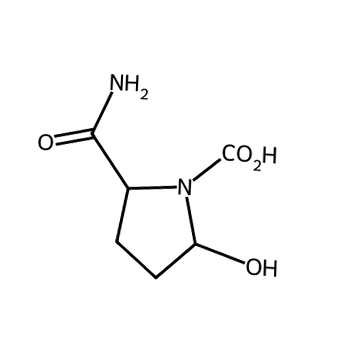 NC(=O)C1CCC(O)N1C(=O)O